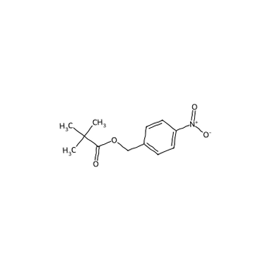 CC(C)(C)C(=O)OCc1ccc([N+](=O)[O-])cc1